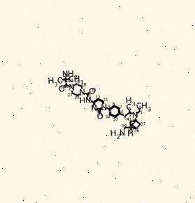 CCN(C(C)Cc1ccc(-n2ccc(NC(=O)N3CCN(C(=O)C(C)(C)N)CC3)nc2=O)cc1)C12CC(C1)[C@@H](CN)C2